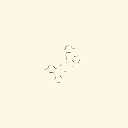 Cc1cc(C)c(N=CC=[N+]([Pd])c2c(C)cc(C)cc2-c2c(C)cccc2C(C)C)c(-c2c(C)cccc2C(C)C)c1